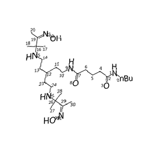 CCCCNC(=O)CCCC(=O)NCCC(CCNC(C)(C)/C(C)=N\O)CCNC(C)(C)/C(C)=N\O